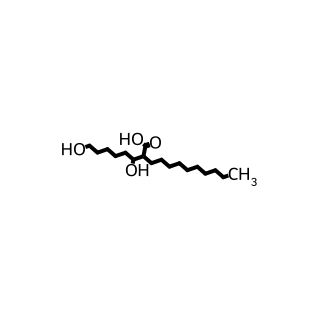 CCCCCCCCCCC(C(=O)O)C(O)CCCCCO